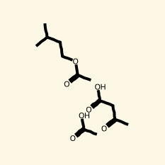 CC(=O)CC(=O)O.CC(=O)O.CC(=O)OCCC(C)C